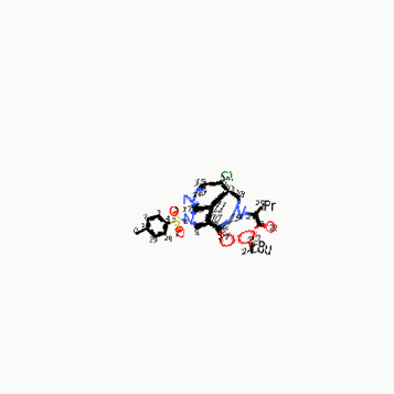 Cc1ccc(S(=O)(=O)n2cc3c4c(c(Cl)cnc42)CN(C(C(=O)OC(C)(C)C)C(C)C)C3=O)cc1